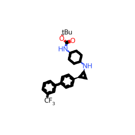 CC(C)(C)OC(=O)N[C@H]1CC[C@@H](N[C@@H]2C[C@H]2c2ccc(-c3cccc(C(F)(F)F)c3)cc2)CC1